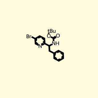 CC(C)(C)OC(=O)NC(Cc1ccccc1)c1ccc(Br)cn1